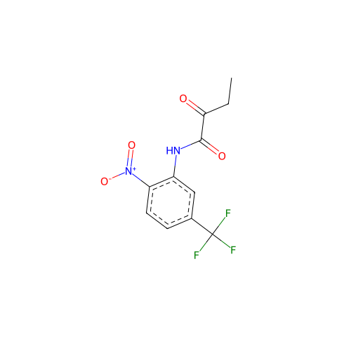 CCC(=O)C(=O)Nc1cc(C(F)(F)F)ccc1[N+](=O)[O-]